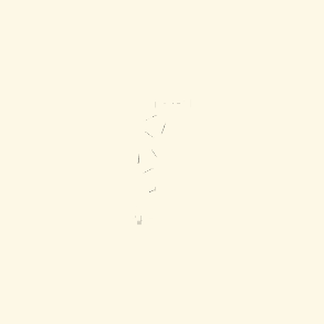 CCCCCc1ccc(-c2ccc([C@H]3CC[C@H](CCC)CC3=O)cc2)cc1